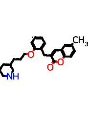 Cc1ccc2oc(=O)c(Cc3cc[c]cc3OCCCC3CCCNC3)cc2c1